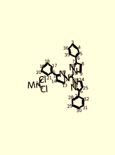 [Cl][Mn][Cl].c1ccc(-c2ccn(C(n3ccc(-c4ccccc4)n3)n3ccc(-c4ccccc4)n3)n2)cc1